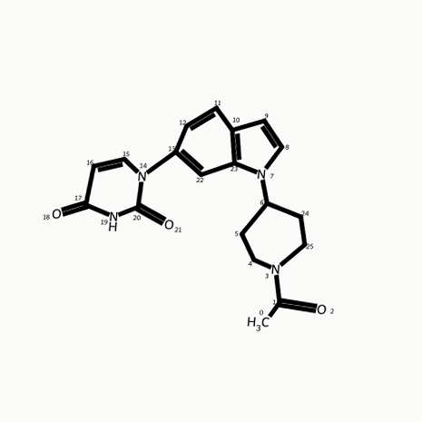 CC(=O)N1CCC(n2ccc3ccc(-n4ccc(=O)[nH]c4=O)cc32)CC1